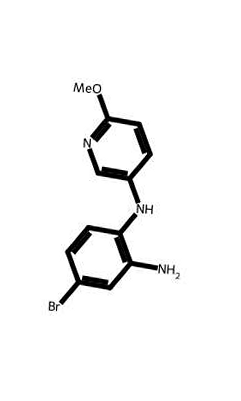 COc1ccc(Nc2ccc(Br)cc2N)cn1